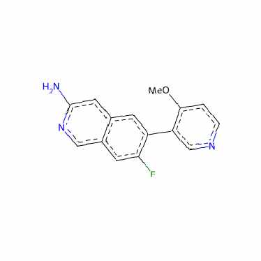 COc1ccncc1-c1cc2cc(N)ncc2cc1F